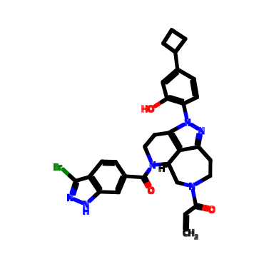 C=CC(=O)N1CCc2nn(-c3ccc(C4CCC4)cc3O)c3c2[C@H](C1)N(C(=O)c1ccc2c(Br)n[nH]c2c1)CC3